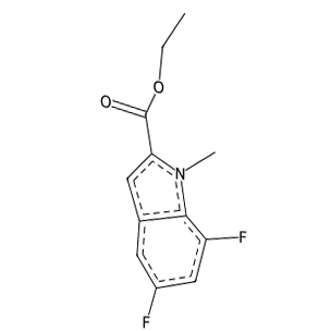 CCOC(=O)c1cc2cc(F)cc(F)c2n1C